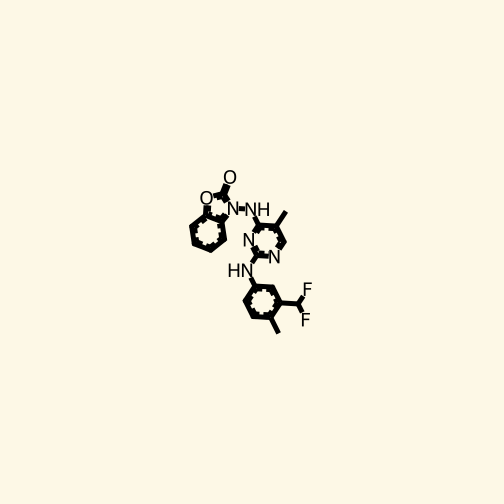 Cc1ccc(Nc2ncc(C)c(Nn3c(=O)oc4ccccc43)n2)cc1C(F)F